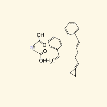 C(=Cc1ccccc1)CCC=C1CC1.C=Cc1ccccc1.O=C(O)/C=C\C(=O)O